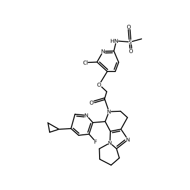 CS(=O)(=O)Nc1ccc(OCC(=O)N2CCc3nc4n(c3C2c2ncc(C3CC3)cc2F)CCCC4)c(Cl)n1